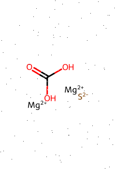 O=C(O)O.[Mg+2].[Mg+2].[S-2]